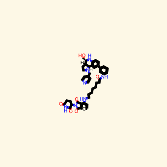 O=C1CCC(N2C(=O)c3cccc(NCCCCCCCC(=O)Nc4cccc(-c5ccc6c(c5)[C@H]5[C@H](CCN5Cc5ccncc5)[C@@H](CO)N6)c4)c3C2=O)C(=O)N1